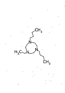 CCCCN1CCN(CC)CCN(CCCC)CC1